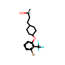 C[C@H](O)CCC1CCC(Oc2cccc(Br)c2C(F)(F)F)CC1